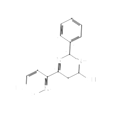 C/C=C\C(=N/C)C1=NC(c2ccccc2)NC(C)C1